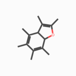 CC1=C(C)C2C(C)=C(C)C(C)=C(C)C2O1